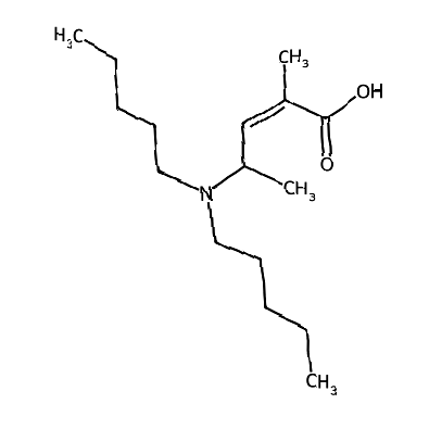 CCCCCN(CCCCC)C(C)C=C(C)C(=O)O